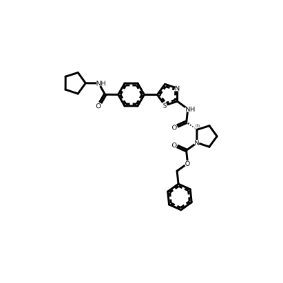 O=C(NC1CCCC1)c1ccc(-c2cnc(NC(=O)[C@@H]3CCCN3C(=O)OCc3ccccc3)s2)cc1